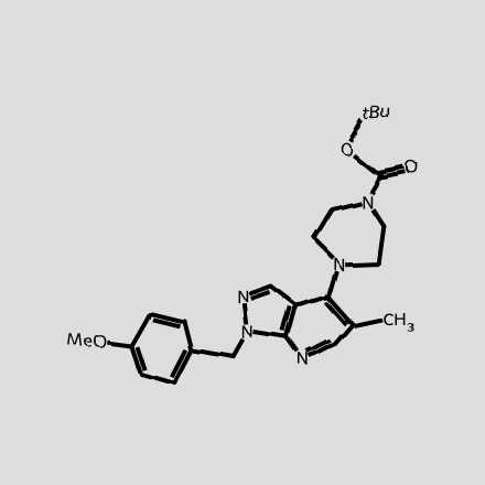 COc1ccc(Cn2ncc3c(N4CCN(C(=O)OC(C)(C)C)CC4)c(C)cnc32)cc1